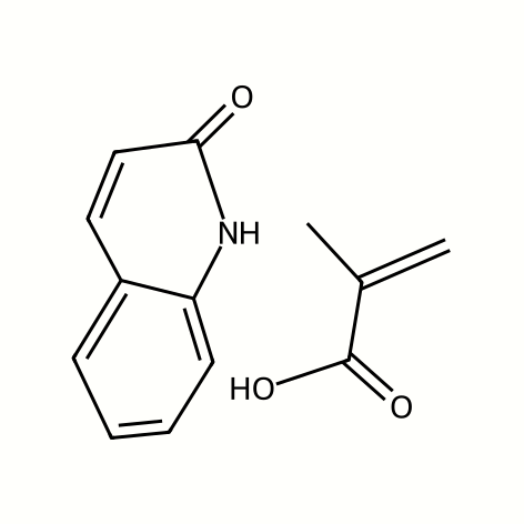 C=C(C)C(=O)O.O=c1ccc2ccccc2[nH]1